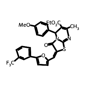 CCOC(=O)C1=C(C)N=c2s/c(=C/c3ccc(-c4cccc(C(F)(F)F)c4)o3)c(=O)n2C1c1ccc(OC)cc1